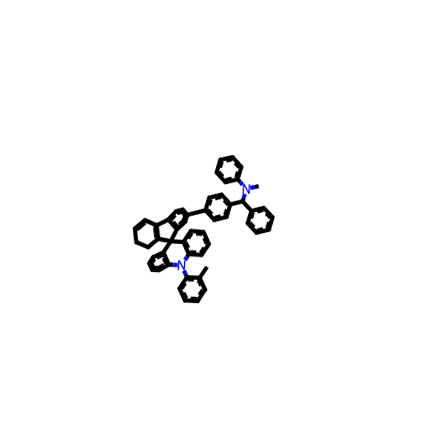 Cc1ccccc1N1c2ccccc2C2(C3=C(C=CCC3)c3ccc(-c4ccc(C(c5ccccc5)N(C)c5ccccc5)cc4)cc32)c2ccccc21